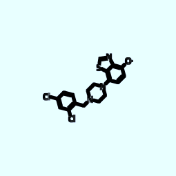 [O]c1ccc(N2CCN(Cc3ccc(Cl)cc3Cl)CC2)c2scnc12